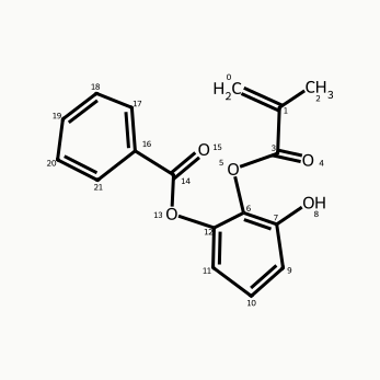 C=C(C)C(=O)Oc1c(O)cccc1OC(=O)c1ccccc1